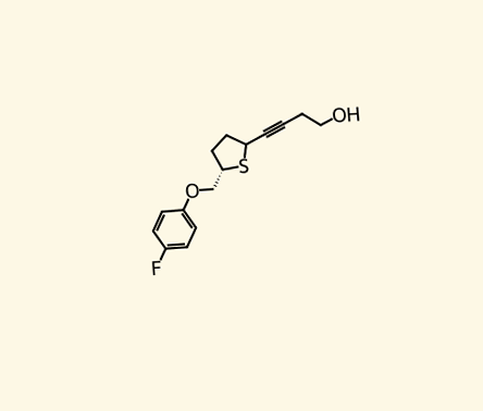 OCCC#CC1CC[C@@H](COc2ccc(F)cc2)S1